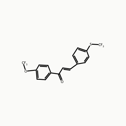 O=C(C=Cc1ccc(SC(F)(F)F)cc1)c1ccc(OC(F)(F)F)cc1